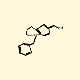 OCc1ccc2c(c1)CCCN2Cc1ccccc1